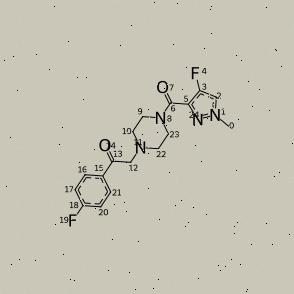 Cn1cc(F)c(C(=O)N2CCN(CC(=O)c3ccc(F)cc3)CC2)n1